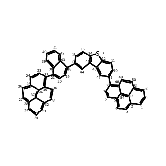 c1cc2ccc3ccc(-c4ccc5sc6ccc(-c7ccc(-c8ccc9ccc%10cccc%11ccc8c9c%10%11)c8ccccc78)cc6c5c4)c4ccc(c1)c2c34